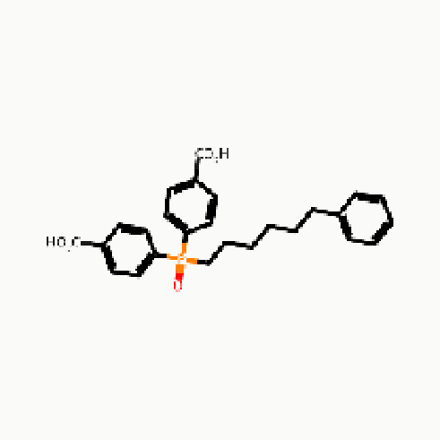 O=C(O)c1ccc(P(=O)(CCCCCCc2ccccc2)c2ccc(C(=O)O)cc2)cc1